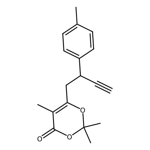 C#CC(CC1=C(C)C(=O)OC(C)(C)O1)c1ccc(C)cc1